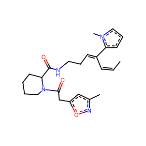 C/C=C\C(=C/CCNC(=O)C1CCCCN1C(=O)Cc1cc(C)no1)c1cccn1C